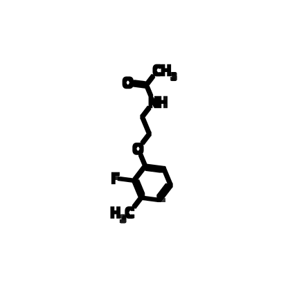 CC(=O)NCCOc1cc[c]c(C)c1F